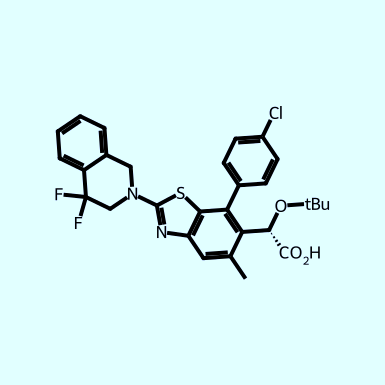 Cc1cc2nc(N3Cc4ccccc4C(F)(F)C3)sc2c(-c2ccc(Cl)cc2)c1[C@H](OC(C)(C)C)C(=O)O